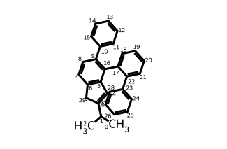 CC(C)C1=Cc2c(ccc(-c3ccccc3)c2-c2ccccc2-c2ccccc2)[CH]1